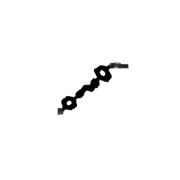 CCCCCC[C@H]1CC[C@H](C#C/C=C/C#C[C@H]2CC[C@H](CC)CC2)CC1